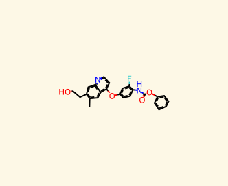 Cc1cc2c(Oc3ccc(NC(=O)Oc4ccccc4)c(F)c3)ccnc2cc1CCO